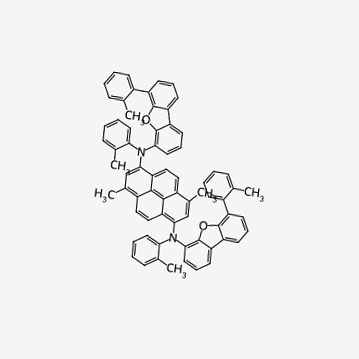 Cc1ccccc1-c1cccc2c1oc1c(N(c3ccccc3C)c3cc(C)c4ccc5c(N(c6ccccc6C)c6cccc7c6oc6c(-c8ccccc8C)cccc67)cc(C)c6ccc3c4c65)cccc12